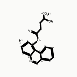 O=C(CCC(O)C(=O)O)Oc1cccc2ncc3ccccc3c12.[H+]